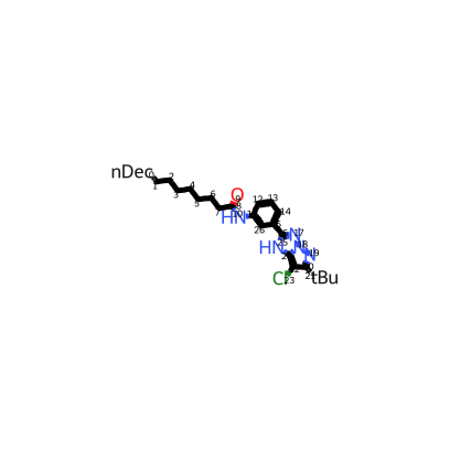 CCCCCCCCCCCCCCCCCC(=O)Nc1cccc(-c2nn3nc(C(C)(C)C)c(Cl)c3[nH]2)c1